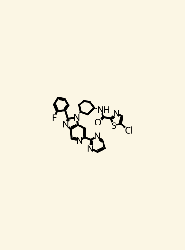 O=C(N[C@H]1CCC[C@@H](n2c(-c3ccccc3F)nc3cnc(-c4ncccn4)cc32)C1)c1ncc(Cl)s1